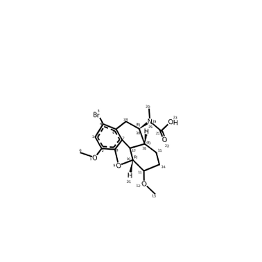 COc1cc(Br)c2c3c1O[C@H]1C(OC)CC[C@H](C31)[C@H](N(C)C(=O)O)C2